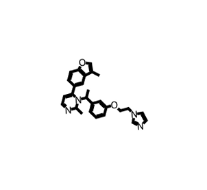 Cc1coc2ccc(C3=CC=NC(C)N3C(C)c3cccc(OCCn4ccnc4)c3)cc12